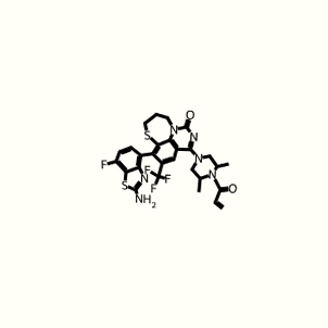 C=CC(=O)N1C(C)CN(c2nc(=O)n3c4c(c(-c5ccc(F)c6sc(N)nc56)c(C(F)(F)F)cc24)SCCC3)CC1C